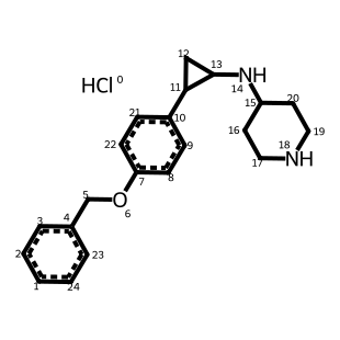 Cl.c1ccc(COc2ccc(C3CC3NC3CCNCC3)cc2)cc1